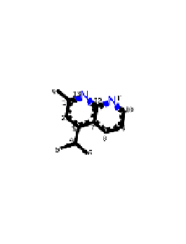 Cc1cc(C(C)C)c2cccnc2n1